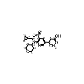 CC(CC(=O)O)c1cnc(N(CC2CC2)C2CCOCC2)c([N+](=O)[O-])c1